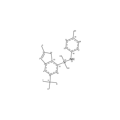 CC1=Cc2cc(C(C)(C)C)cc([Si](C)(C)Nc3ccc(C)cc3)c2C1